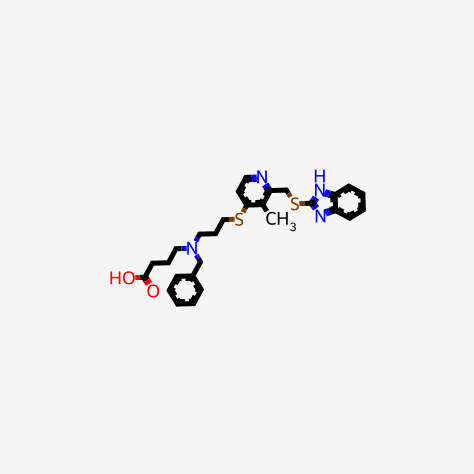 Cc1c(SCCCN(CCCC(=O)O)Cc2ccccc2)ccnc1CSc1nc2ccccc2[nH]1